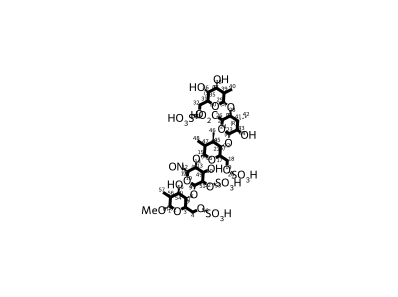 CO[C@H]1OC(COS(=O)(=O)O)[C@@H](O[C@@H]2O[C@@H](N=O)[C@@H](O[C@H]3OC(COS(=O)(=O)O)[C@@H](O[C@@H]4OC(C(=O)O)[C@@H](O[C@H]5OC(COS(=O)(=O)O)[C@@H](O)[C@H](O)C5C)[C@H](C)C4O)[C@H](C)C3C)C(O)C2OS(=O)(=O)O)[C@H](O)C1C